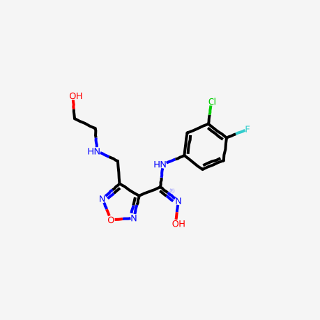 OCCNCc1nonc1/C(=N\O)Nc1ccc(F)c(Cl)c1